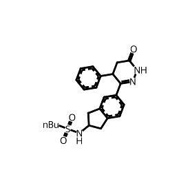 CCCCS(=O)(=O)NC1Cc2ccc(C3=NNC(=O)CC3c3ccccc3)cc2C1